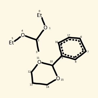 CCOC(C)OCC.c1ccc(C2OCCCO2)cc1